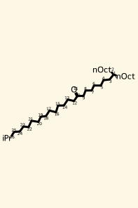 CCCCCCCCC(CCCCCCCC)CCCCCCCC(=O)CCCCCCCCCCCCCCC(C)C